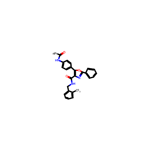 CCCC(=O)Nc1ccc(-c2oc(-c3ccccc3)nc2C(=O)NCc2ccccc2C(F)(F)F)cc1